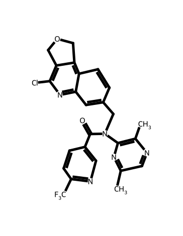 Cc1cnc(C)c(N(Cc2ccc3c4c(c(Cl)nc3c2)COC4)C(=O)c2ccc(C(F)(F)F)nc2)n1